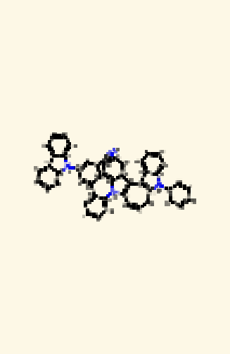 N#CC1C=C(n2c3ccccc3c3ccccc32)C=C(c2ccccc2-n2c3c(c4ccccc42)-c2c(n(-c4ccccc4)c4ccccc24)CC#C3)C1